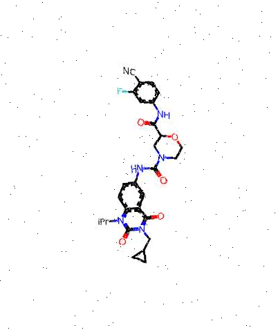 CC(C)n1c(=O)n(CC2CC2)c(=O)c2cc(NC(=O)N3CCOC(C(=O)Nc4ccc(C#N)c(F)c4)C3)ccc21